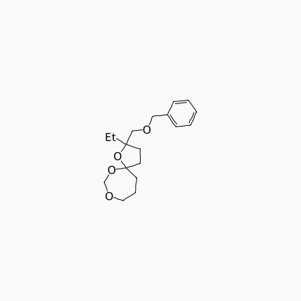 CCC1(COCc2ccccc2)CCC2(CCCOCO2)O1